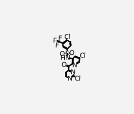 O=C(c1ccnc(Cl)n1)c1ncc(Cl)cc1NS(=O)(=O)c1ccc(Cl)c(C(F)(F)F)c1